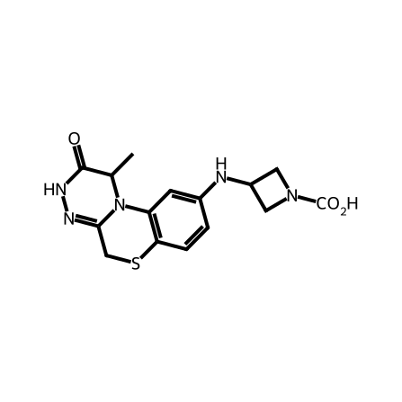 CC1C(=O)NN=C2CSc3ccc(NC4CN(C(=O)O)C4)cc3N21